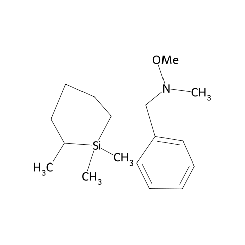 CC1CCCC[Si]1(C)C.CON(C)Cc1ccccc1